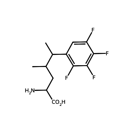 CC(CC(N)C(=O)O)C(C)c1cc(F)c(F)c(F)c1F